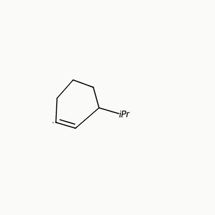 CC(C)C1C=[C]CCC1